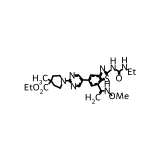 C=C(NOC)c1cc(-c2cnc(N3CCC(C)(C(=O)OCC)CC3)nc2)cc2nc(NC(=O)NCC)sc12